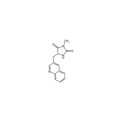 CN1C(=O)C(Cc2cnc3ccccc3c2)NC1=S